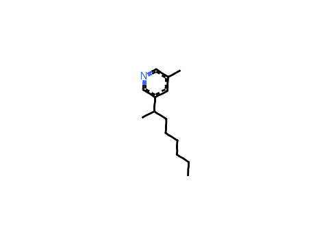 CCCCCCC(C)c1cncc(C)c1